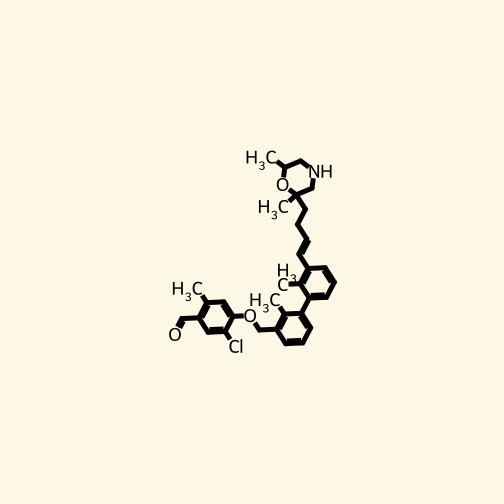 Cc1cc(OCc2cccc(-c3cccc(C=CCCC4(C)CNCC(C)O4)c3C)c2C)c(Cl)cc1C=O